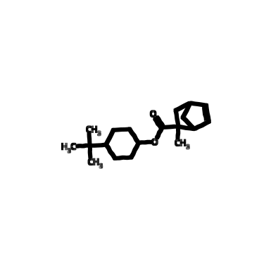 CC(C)(C)C1CCC(OC(=O)C2(C)CC3C=CC2C3)CC1